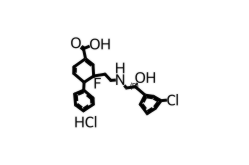 Cl.O=C(O)C1=CC(F)(CCNC[C@H](O)c2cccc(Cl)c2)C(c2ccccc2)C=C1